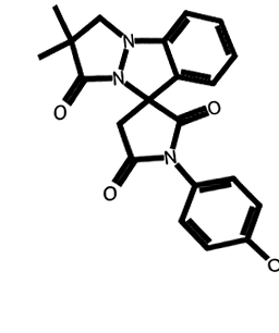 COc1ccc(N2C(=O)CC3(C2=O)c2ccccc2N2CC(C)(C)C(=O)N23)cc1